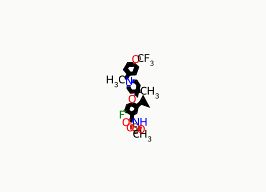 C[C@@H](c1ccc(OC(F)(F)F)cc1)N1CCC(C)(COc2cc(F)c(C(=O)NS(C)(=O)=O)cc2C2CC2)CC1